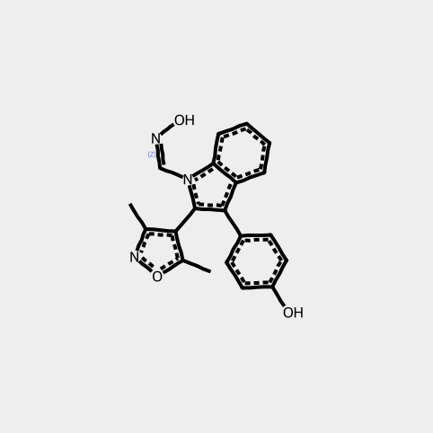 Cc1noc(C)c1-c1c(-c2ccc(O)cc2)c2ccccc2n1/C=N\O